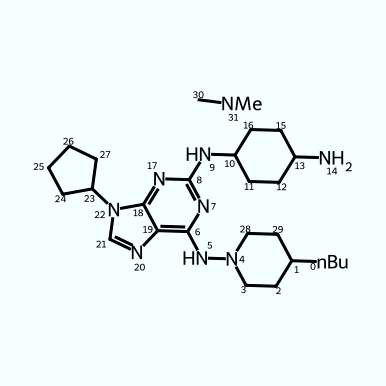 CCCCC1CCN(Nc2nc(NC3CCC(N)CC3)nc3c2ncn3C2CCCC2)CC1.CNC